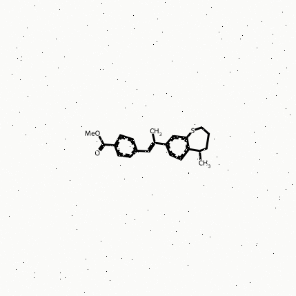 COC(=O)c1ccc(/C=C(\C)c2ccc3c(c2)SCCCC3C)cc1